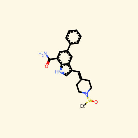 CC[S+]([O-])N1CCC(=Cc2c[nH]c3c(C(N)=O)cc(-c4ccccc4)cc23)CC1